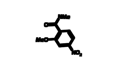 CNC(=O)c1ccc([N+](=O)[O-])cc1OC